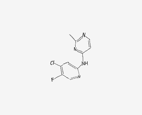 Cc1nccc(Nc2cc(Cl)c(F)cn2)n1